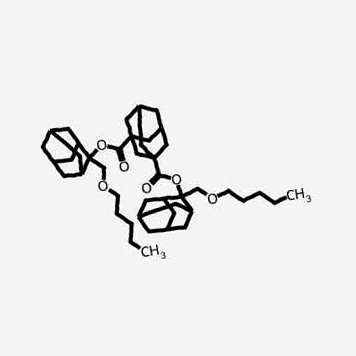 CCCCCOCC1(OC(=O)C23CC4CC(C2)CC(C(=O)OC2(COCCCCC)C5CC6CC(C5)CC2C6)(C4)C3)C2CC3CC(C2)CC1C3